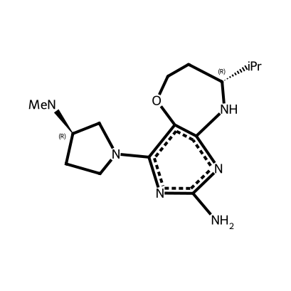 CN[C@@H]1CCN(c2nc(N)nc3c2OCC[C@H](C(C)C)N3)C1